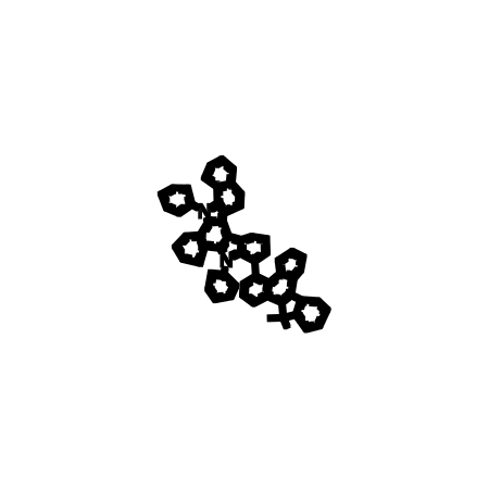 CC1(C)c2ccccc2-c2c1c1cccc(-c3cccc4c5c6c7ccc8ccccc8c7n(-c7ccccc7)c6c6ccccc6c5n(-c5ccccc5)c34)c1c1ccccc21